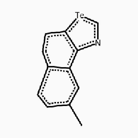 Cc1ccc2ccc3[te]cnc3c2c1